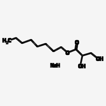 CCCCCCCCOC(=O)C(O)CO.[NaH]